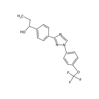 CCC(O)c1ccc(-c2ncn(-c3ccc(OC(F)(F)F)cc3)n2)cc1